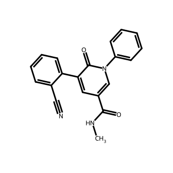 CNC(=O)c1cc(-c2ccccc2C#N)c(=O)n(-c2ccccc2)c1